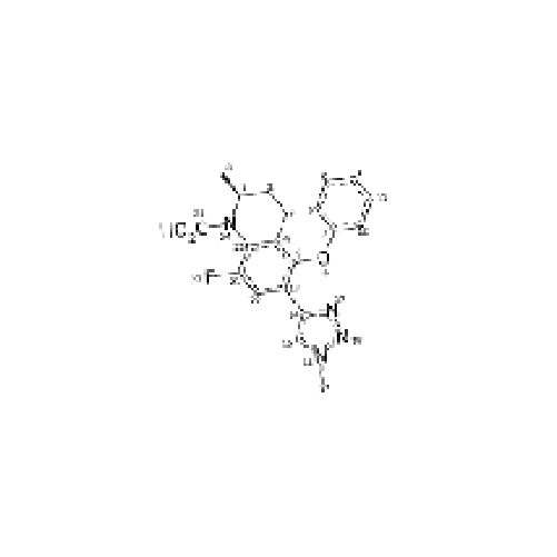 C[C@H]1CCc2c(Oc3ccccc3)c(-c3cn(C)nn3)cc(F)c2N1C(=O)O